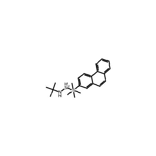 CC(C)(C)N[SiH2][Ti]([CH3])([CH3])([CH3])([CH3])[c]1ccc2c(ccc3ccccc32)c1